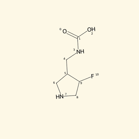 O=C(O)NCC1CNCC1F